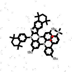 CC(C)(C)c1ccc2c(c1)B1c3c(cc(C(C)(C)C)cc3N(c3ccc4c(c3)C(C)(C)CCC4(C)C)c3sc4cc5c(cc4c31)C(C)(C)CCC5(C)C)N2c1ccc(C(C)(C)C)cc1-c1ccc([Si](C)(C)C)cc1